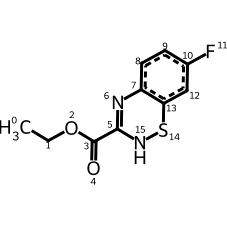 CCOC(=O)C1=Nc2ccc(F)cc2SN1